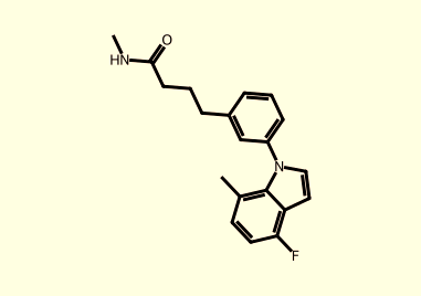 CNC(=O)CCCc1cccc(-n2ccc3c(F)ccc(C)c32)c1